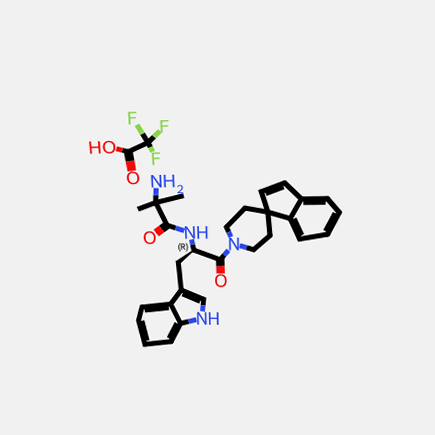 CC(C)(N)C(=O)N[C@H](Cc1c[nH]c2ccccc12)C(=O)N1CCC2(C=Cc3ccccc32)CC1.O=C(O)C(F)(F)F